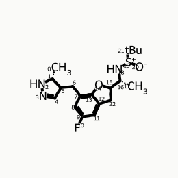 C[C@H]1NN=CC1Cc1cc(F)cc2c1OC([C@@H](C)N[S+]([O-])C(C)(C)C)C2